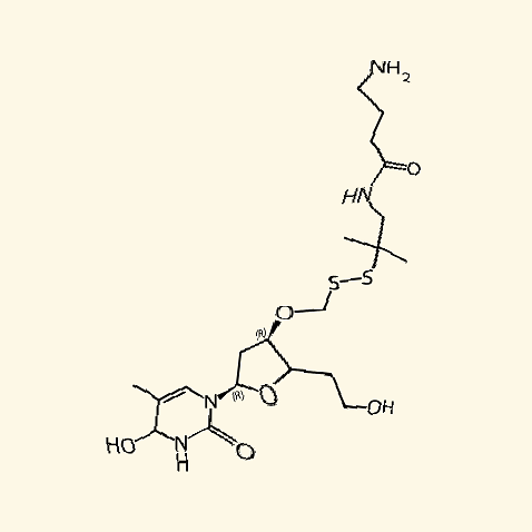 CC1=CN([C@H]2C[C@@H](OCSSC(C)(C)CNC(=O)CCCN)C(CCO)O2)C(=O)NC1O